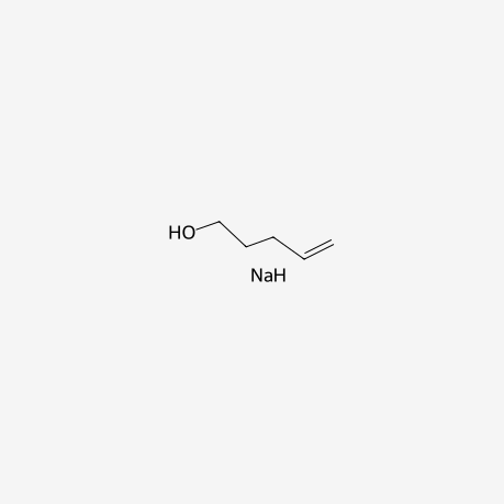 C=CCCCO.[NaH]